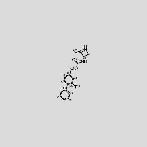 O=C(N[C@H]1CNC1=O)OCc1ccc(-c2ccccc2)c(F)c1